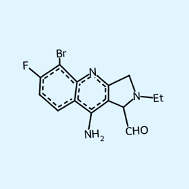 CCN1Cc2nc3c(Br)c(F)ccc3c(N)c2C1C=O